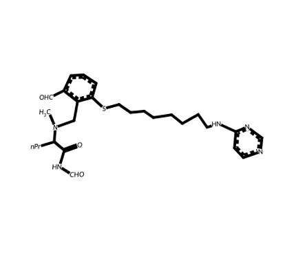 CCCC(C(=O)NC=O)N(C)Cc1c(C=O)cccc1SCCCCCCCCNc1ccncn1